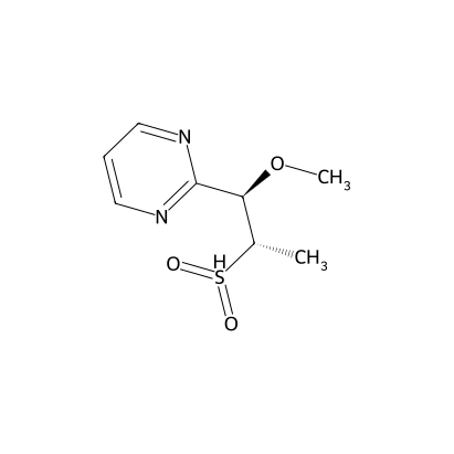 CO[C@H](c1ncccn1)[C@H](C)[SH](=O)=O